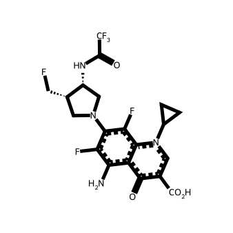 Nc1c(F)c(N2C[C@H](CF)[C@H](NC(=O)C(F)(F)F)C2)c(F)c2c1c(=O)c(C(=O)O)cn2C1CC1